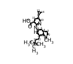 Cn1ccc2cc(Nc3ncc(C4CC4)cc3C(=O)O)cc(CCC(C)(C)C)c21